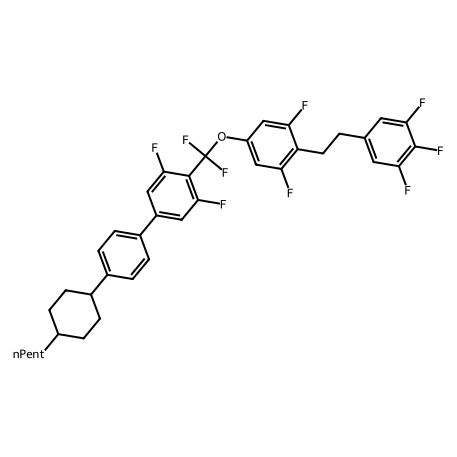 CCCCCC1CCC(c2ccc(-c3cc(F)c(C(F)(F)Oc4cc(F)c(CCc5cc(F)c(F)c(F)c5)c(F)c4)c(F)c3)cc2)CC1